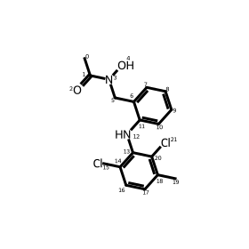 CC(=O)N(O)Cc1ccccc1Nc1c(Cl)ccc(C)c1Cl